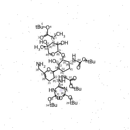 CN(C(=O)OC(C)(C)C)[C@@H]1[C@@H](O)[C@@H](O[C@@H]2[C@@H](O)[C@H](C3OC(CN)=CC[C@H]3N/C(=N/C(=O)OC(C)(C)C)NC(=O)OC(C)(C)C)[C@@H](NC(=O)OC(C)(C)C)C[C@H]2NC(=O)OC(C)(C)C)OC[C@]1(C)O